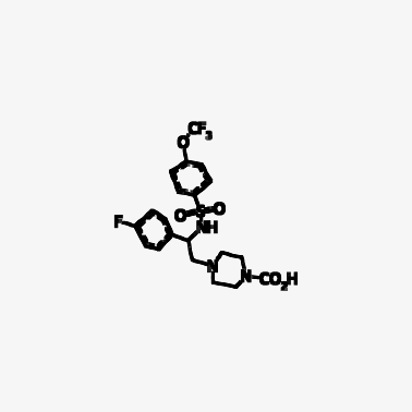 O=C(O)N1CCN(CC(NS(=O)(=O)c2ccc(OC(F)(F)F)cc2)c2ccc(F)cc2)CC1